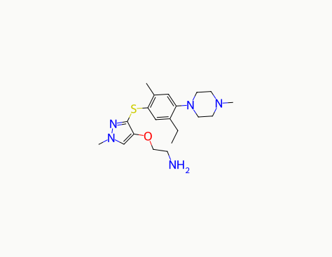 CCc1cc(Sc2nn(C)cc2OCCN)c(C)cc1N1CCN(C)CC1